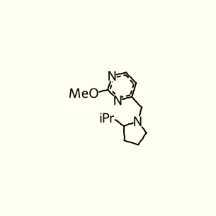 COc1nccc(CN2CCCC2C(C)C)n1